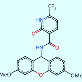 COc1ccc2c(c1)Oc1cc(OC)ccc1C2NC(=O)c1ccc(C(F)(F)F)[nH]c1=O